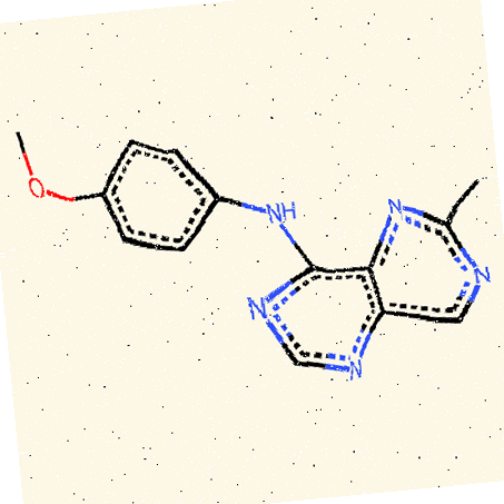 COc1ccc(Nc2ncnc3cnc(C)nc23)cc1